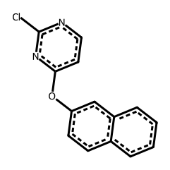 Clc1nccc(Oc2ccc3ccccc3c2)n1